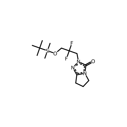 CC(C)(C)[Si](C)(C)OCC(F)(F)Cn1nc2n(c1=O)CCC2